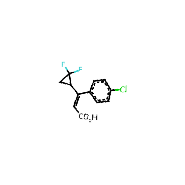 O=C(O)/C=C(\c1ccc(Cl)cc1)C1CC1(F)F